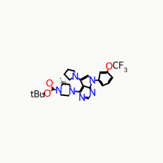 C[C@@H]1CN(c2ncnc3c2c(N2CCCC2)cn3-c2cccc(OC(F)(F)F)c2)CCN1C(=O)OC(C)(C)C